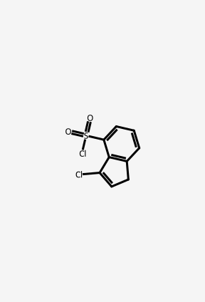 O=S(=O)(Cl)c1cccc2c1C(Cl)=CC2